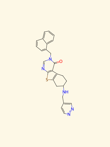 O=c1c2c3c(sc2ncn1Cc1cccc2ccccc12)CC(NCc1ccnnc1)CC3